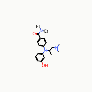 CCN(CC)C(=O)c1ccc(N(c2cccc(O)c2)C(C)CN(C)C)cc1